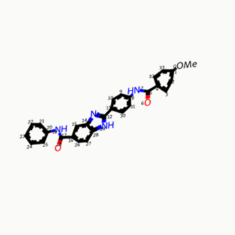 COc1ccc(C(=O)Nc2ccc(-c3nc4cc(C(=O)Nc5ccccc5)ccc4[nH]3)cc2)cc1